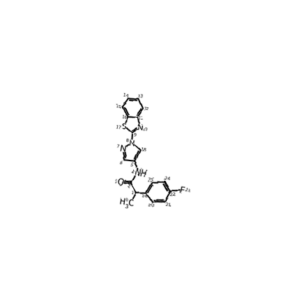 CC(C(=O)Nc1cnn(-c2nc3ccccc3s2)c1)c1ccc(F)cc1